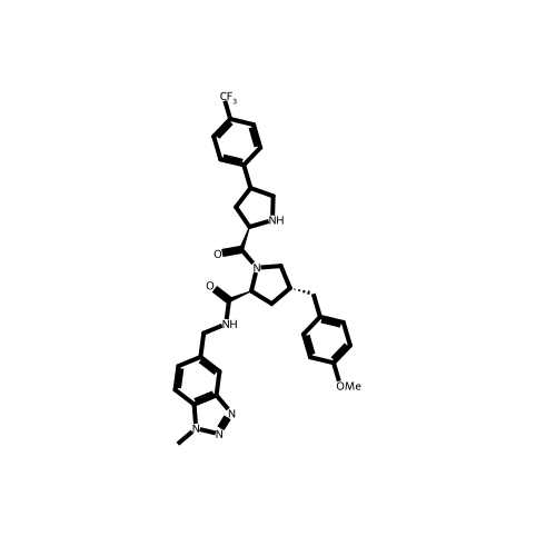 COc1ccc(C[C@@H]2C[C@@H](C(=O)NCc3ccc4c(c3)nnn4C)N(C(=O)[C@H]3CC(c4ccc(C(F)(F)F)cc4)CN3)C2)cc1